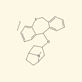 CI.CN1C2CCC1CC(OC1c3ccccc3CSc3ccccc31)C2